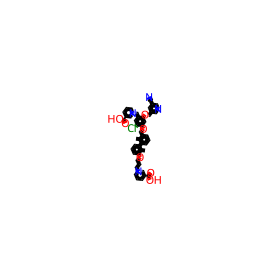 Cc1c(COc2cc(OCc3cncc(C#N)c3)c(CN3CCC[C@H](C(=O)O)C3)cc2Cl)cccc1-c1cccc(OCCCN2CCC[C@H](C(=O)O)C2)c1C